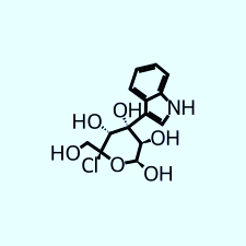 OC[C@@]1(Cl)O[C@H](O)[C@H](O)[C@](O)(c2c[nH]c3ccccc23)[C@H]1O